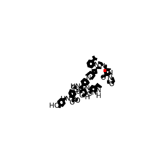 COc1cc(CN2CCN(c3ccccc3C(C)C)[C@H](C3CC4(CCN(c5ccc(C(=O)NS(=O)(=O)c6ccc(NCC7CCC(C)(O)CC7)c([N+](=O)[O-])c6)c(N6c7cc8cc[nH]c8nc7O[C@H]7COCC[C@@H]76)c5)CC4)C3)C2)cnc1N1CCOCC1